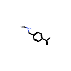 C=C(C)c1ccc(CNC(C)(C)C)cc1